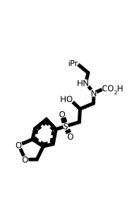 CC(C)CNN(CC(O)CS(=O)(=O)c1ccc2c(c1)COO2)C(=O)O